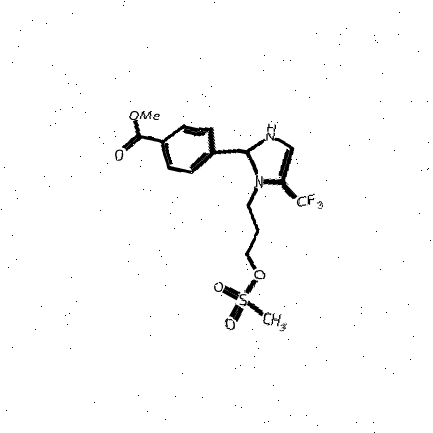 COC(=O)c1ccc(C2NC=C(C(F)(F)F)N2CCCOS(C)(=O)=O)cc1